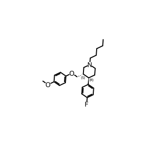 CCCCCN1CC[C@@H](c2ccc(F)cc2)[C@H](COc2ccc(OC)cc2)C1